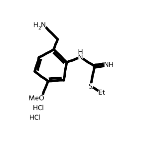 CCSC(=N)Nc1cc(OC)ccc1CN.Cl.Cl